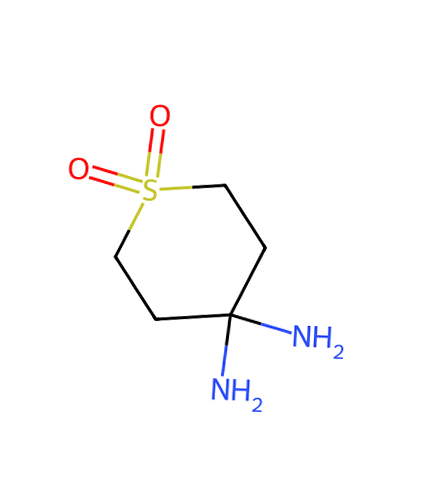 NC1(N)CCS(=O)(=O)CC1